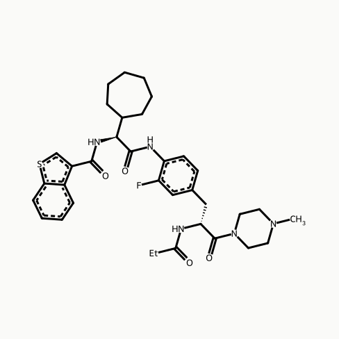 CCC(=O)N[C@H](Cc1ccc(NC(=O)[C@@H](NC(=O)c2csc3ccccc23)C2CCCCCC2)c(F)c1)C(=O)N1CCN(C)CC1